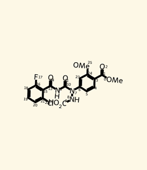 COC(=O)c1ccc(N(NC(=O)O)C(=O)NC(=O)c2c(F)cccc2Cl)cc1OC